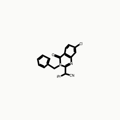 CC(C)C(C#N)c1nc2cc(Cl)ccc2c(=O)n1Cc1ccccc1